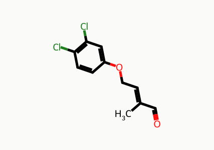 C/C(C=O)=C\COc1ccc(Cl)c(Cl)c1